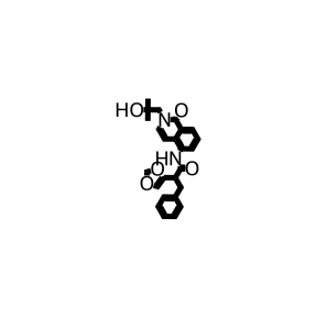 CC(C)(O)Cn1ccc2c(NC(=O)C(Cc3ccccc3)C3=COCO3)cccc2c1=O